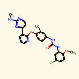 CNc1nccc(-c2cccnc2Oc2ccc(NC(=O)Nc3cc(Cl)ccc3OC)cc2C)n1